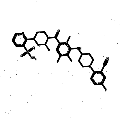 Cc1cc(C(=O)N2CCN(c3ncccc3S(N)(=O)=O)C[C@@H]2C)c(C)c(NC2CCN(c3ccc(F)cc3C#N)CC2)c1C